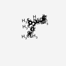 Cc1cc(C)cc(-c2[nH]c3sc(C(C)(C)C(=O)C4C5CCN4CC5)cc3c2CCN2CCN(CC(=O)N(C)C)CC2)c1